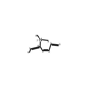 C=C/C=C\C(=C/C)N(C)C